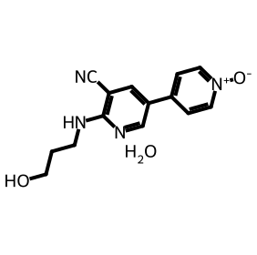 N#Cc1cc(-c2cc[n+]([O-])cc2)cnc1NCCCO.O